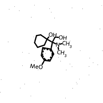 COc1ccc(C(CO)(N(C)C)C2(O)CCCCC2)cc1